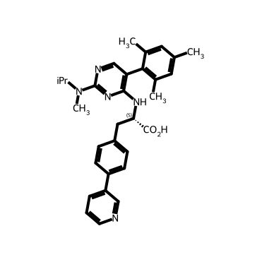 Cc1cc(C)c(-c2cnc(N(C)C(C)C)nc2N[C@@H](Cc2ccc(-c3cccnc3)cc2)C(=O)O)c(C)c1